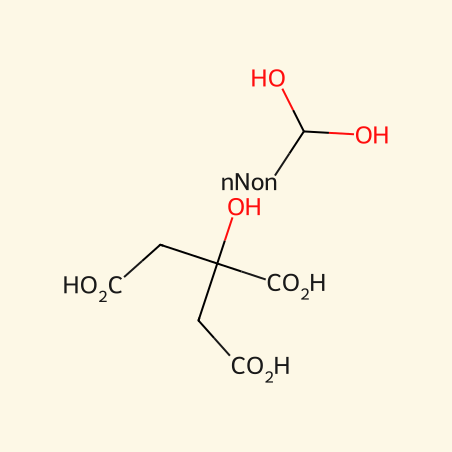 CCCCCCCCCC(O)O.O=C(O)CC(O)(CC(=O)O)C(=O)O